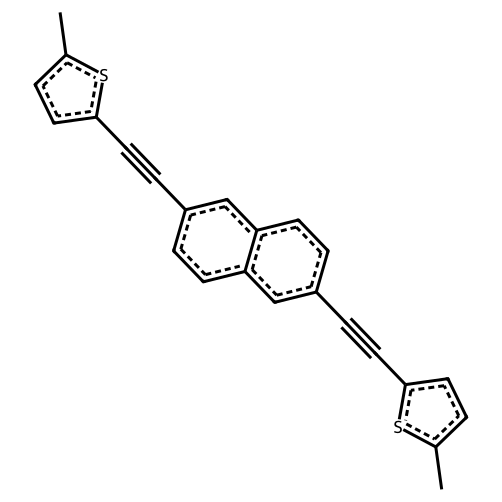 Cc1ccc(C#Cc2ccc3cc(C#Cc4ccc(C)s4)ccc3c2)s1